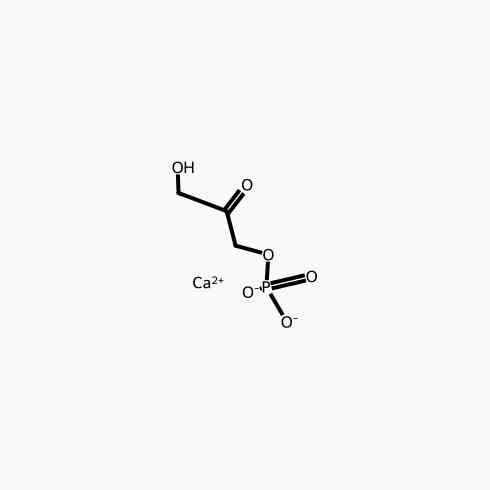 O=C(CO)COP(=O)([O-])[O-].[Ca+2]